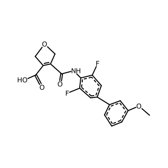 COc1cccc(-c2cc(F)c(NC(=O)C3=C(C(=O)O)COC3)c(F)c2)c1